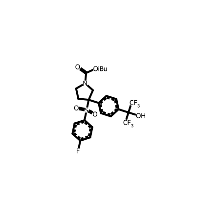 CC(C)COC(=O)N1CCC(c2ccc(C(O)(C(F)(F)F)C(F)(F)F)cc2)(S(=O)(=O)c2ccc(F)cc2)C1